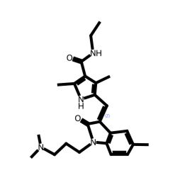 CCNC(=O)c1c(C)[nH]c(/C=C2\C(=O)N(CCCN(C)C)c3ccc(C)cc32)c1C